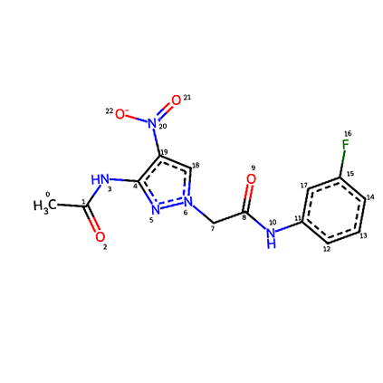 CC(=O)Nc1nn(CC(=O)Nc2cccc(F)c2)cc1[N+](=O)[O-]